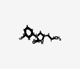 CCC[C@@H]1CN(c2cccc(F)c2)C(=O)O1